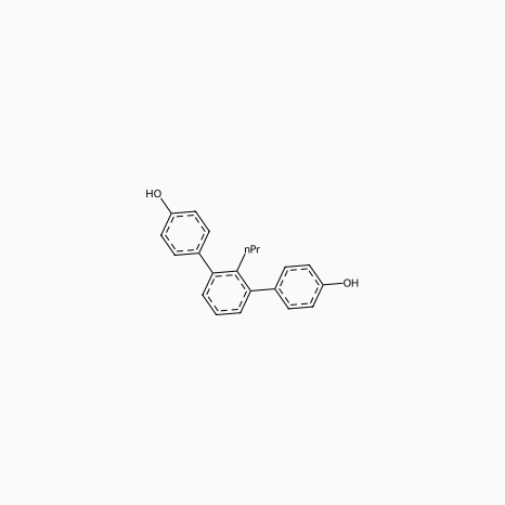 CCCc1c(-c2ccc(O)cc2)cccc1-c1ccc(O)cc1